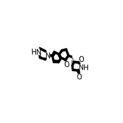 O=C1CC[C@H](CC2CCc3cc(N4CCNCC4)ccc3C2=O)C(=O)N1